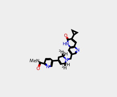 [2H]C1([2H])C=C(c2ccc(C(=O)NC)nc2)CC([2H])([2H])N1Cc1cnc2cc(C3CC3)c(=O)[nH]c2c1